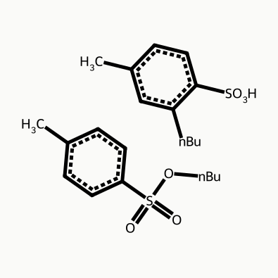 CCCCOS(=O)(=O)c1ccc(C)cc1.CCCCc1cc(C)ccc1S(=O)(=O)O